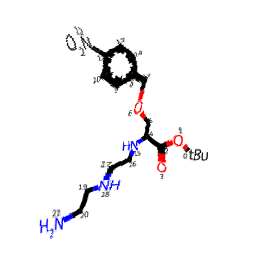 CC(C)(C)OC(=O)C(COCc1ccc([N+](=O)[O-])cc1)NCCNCCN